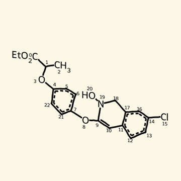 CCOC(=O)C(C)Oc1ccc(OC2=Cc3ccc(Cl)cc3CN2O)cc1